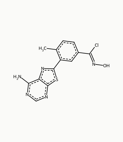 Cc1ccc(C(Cl)=NO)cc1-c1nc2c(N)ncnc2s1